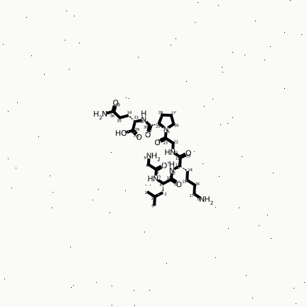 CC(C)C[C@H](NC(=O)CN)C(=O)N[C@@H](CCCCN)C(=O)NCC(=O)N1CCC[C@H]1C(=O)N[C@@H](CCC(N)=O)C(=O)O